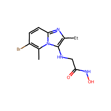 CCc1nc2ccc(Br)c(C)n2c1NCC(=O)NO